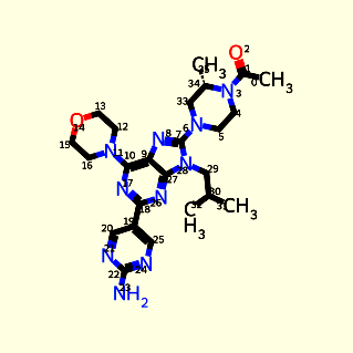 CC(=O)N1CCN(c2nc3c(N4CCOCC4)nc(-c4cnc(N)nc4)nc3n2CC(C)C)C[C@@H]1C